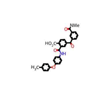 CNC(=O)c1cccc(C(=O)c2ccc(C(=O)O)c(C(=O)Nc3ccc(Oc4ccc(C)cc4)cc3)c2)c1